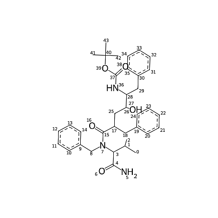 CC(C)C(C(N)=O)N(Cc1ccccc1)C(=O)C(Cc1ccccc1)CC(O)C(Cc1ccccc1)NC(=O)OC(C)(C)C